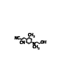 Cc1cc(N(C)CCO)ccc1C=C(C#N)C#N